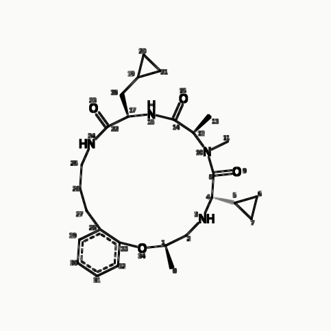 C[C@@H]1CN[C@@H](C2CC2)C(=O)N(C)[C@H](C)C(=O)N[C@H](CC2CC2)C(=O)NCCCc2ccccc2O1